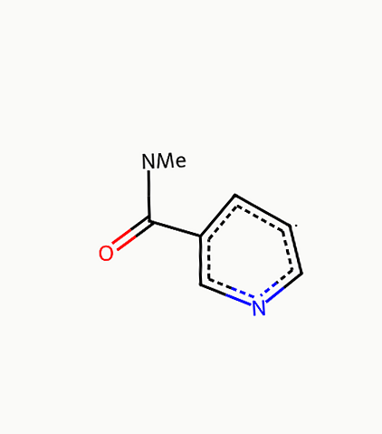 CNC(=O)c1c[c]cnc1